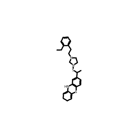 CCc1ccccc1CCN1CCN(SC(C)c2ccc3c(c2)NC2=CCCC=C2S3)C1